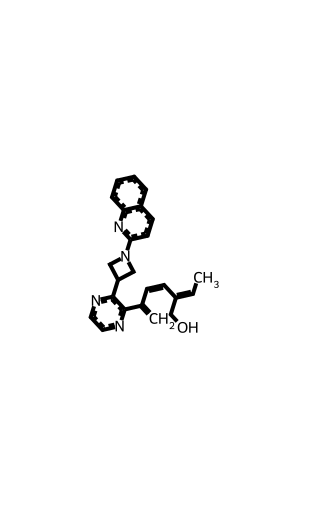 C=C(/C=C\C(=C/C)CO)c1nccnc1C1CN(c2ccc3ccccc3n2)C1